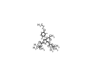 CCCOc1ccc(C[C@@H]2[C@H](OC(C)=O)[C@@H](OC(=O)OC(C)(C)C)CN2C(=O)OC(C)(C)C)cc1